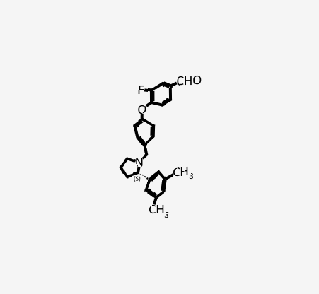 Cc1cc(C)cc([C@@H]2CCCN2Cc2ccc(Oc3ccc(C=O)cc3F)cc2)c1